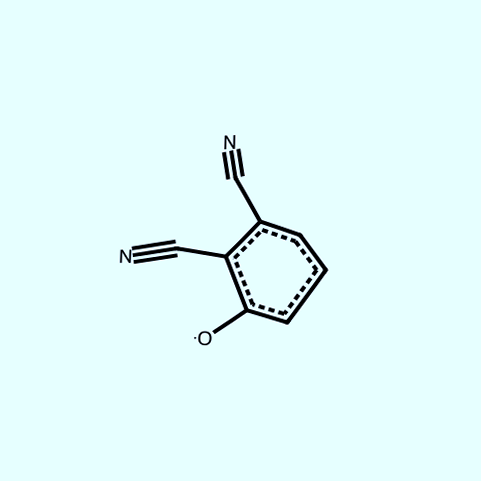 N#Cc1cccc([O])c1C#N